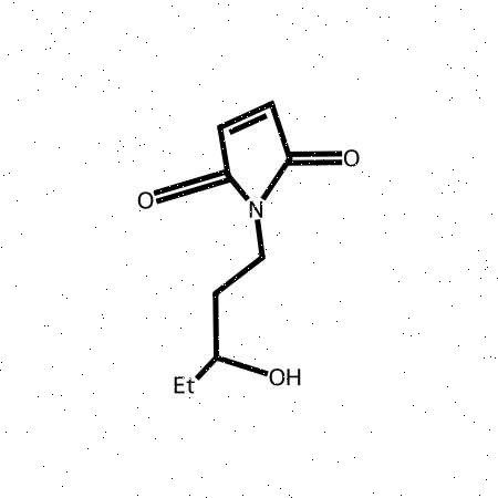 CCC(O)CCN1C(=O)C=CC1=O